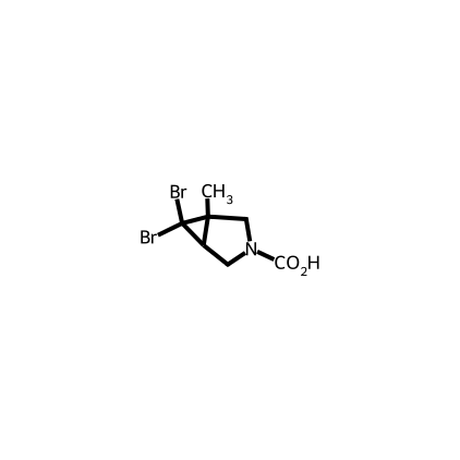 CC12CN(C(=O)O)CC1C2(Br)Br